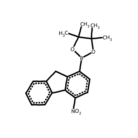 CC1(C)OB(c2ccc([N+](=O)[O-])c3c2Cc2ccccc2-3)OC1(C)C